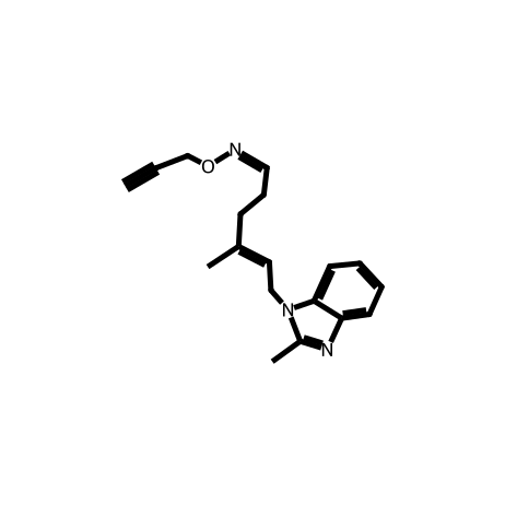 C#CCO/N=C\CC/C(C)=C/Cn1c(C)nc2ccccc21